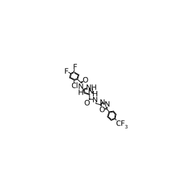 O=C(NCc1nnc(-c2ccc(C(F)(F)F)cc2)o1)c1cc(NC(=O)c2cc(F)c(F)cc2Cl)[nH]n1